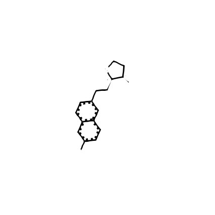 C[C@@H]1CCN[C@@H]1CCc1ccc2cc(Br)ccc2c1